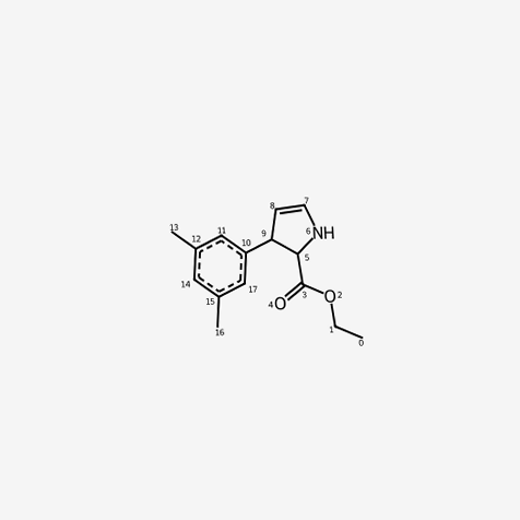 CCOC(=O)C1NC=CC1c1cc(C)cc(C)c1